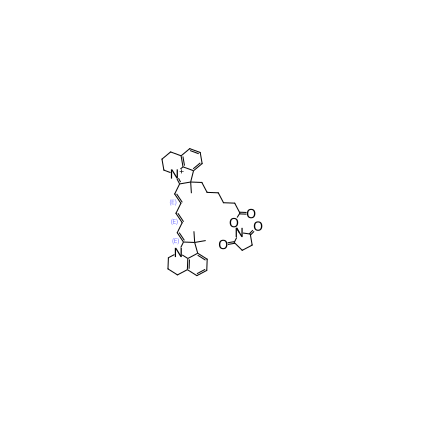 CC1(CCCCCC(=O)ON2C(=O)CCC2=O)C(/C=C/C=C/C=C2/N3CCCc4cccc(c43)C2(C)C)=[N+]2CCCc3cccc1c32